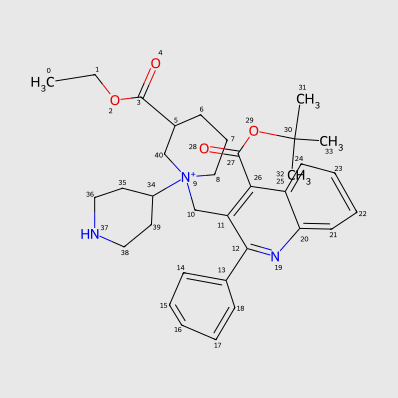 CCOC(=O)C1CCC[N+](Cc2c(-c3ccccc3)nc3ccccc3c2C(=O)OC(C)(C)C)(C2CCNCC2)C1